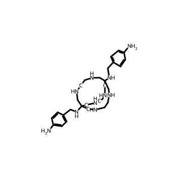 Nc1ccc(CNC23CNCCNCC(NCc4ccc(N)cc4)(CNCCNC2)CNCCNC3)cc1